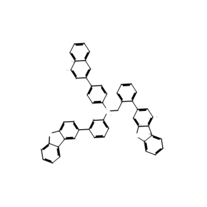 c1cc(-c2ccc3sc4ccccc4c3c2)cc(N(Cc2ccccc2-c2ccc3c(c2)sc2ccccc23)c2ccc(-c3ccc4ccccc4c3)cc2)c1